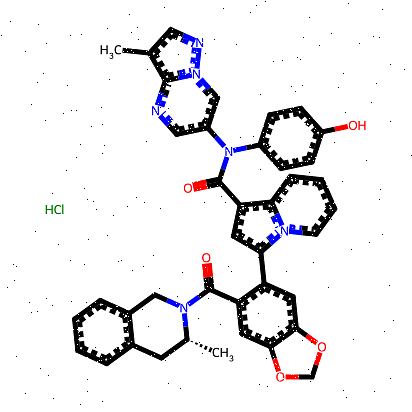 Cc1cnn2cc(N(C(=O)c3cc(-c4cc5c(cc4C(=O)N4Cc6ccccc6C[C@H]4C)OCO5)n4ccccc34)c3ccc(O)cc3)cnc12.Cl